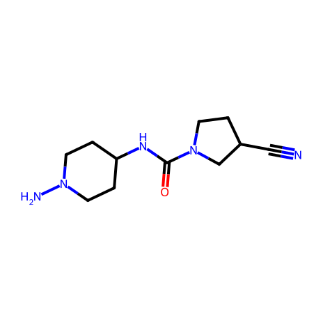 N#CC1CCN(C(=O)NC2CCN(N)CC2)C1